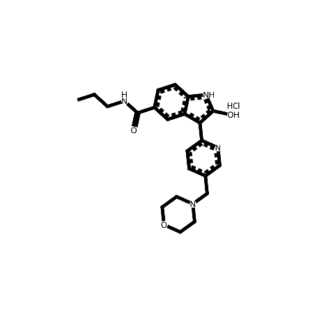 CCCNC(=O)c1ccc2[nH]c(O)c(-c3ccc(CN4CCOCC4)cn3)c2c1.Cl